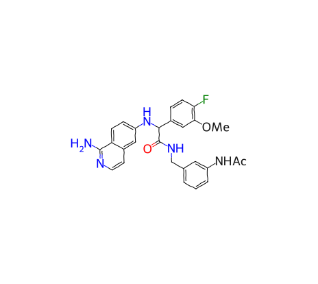 COc1cc(C(Nc2ccc3c(N)nccc3c2)C(=O)NCc2cccc(NC(C)=O)c2)ccc1F